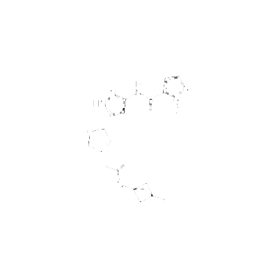 Cn1nccc1C(=O)Nc1cc([C@@H]2C[C@H](OC(=O)NC34CC(F)(C3)C4)CO2)[nH]n1